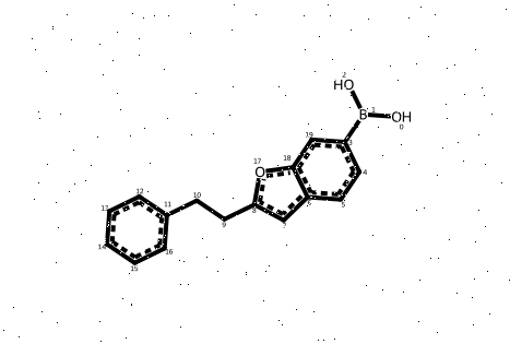 OB(O)c1ccc2cc(CCc3ccccc3)oc2c1